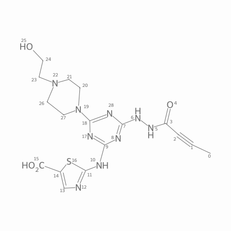 CC#CC(=O)NNc1nc(Nc2ncc(C(=O)O)s2)nc(N2CCN(CCO)CC2)n1